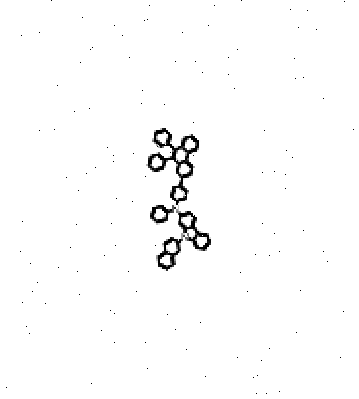 c1ccc(-c2c(-c3ccccc3)c3cc(-c4ccc(N(c5ccccc5)c5ccc6c7ccccc7n(-c7ccc8ccccc8c7)c6c5)cc4)ccc3c3ccccc23)cc1